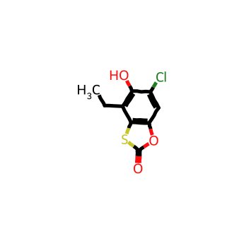 CCc1c(O)c(Cl)cc2oc(=O)sc12